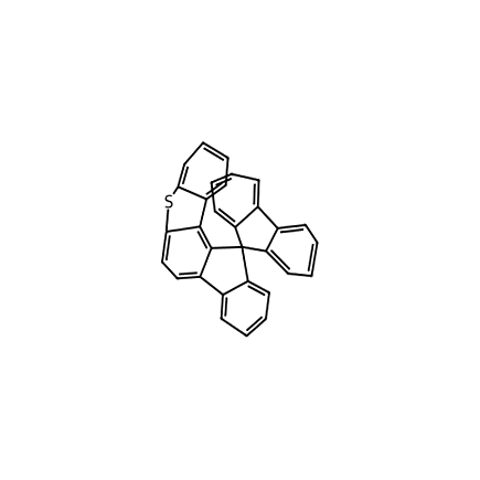 c1ccc2c(c1)-c1ccccc1C21c2ccccc2-c2ccc3sc4ccccc4c3c21